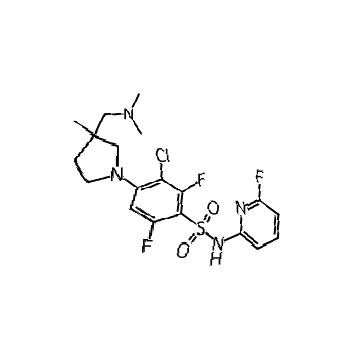 CN(C)CC1(C)CCN(c2cc(F)c(S(=O)(=O)Nc3cccc(F)n3)c(F)c2Cl)C1